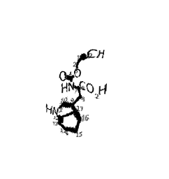 C#CCOC(=O)NC(Cc1c[nH]c2ccccc12)C(=O)O